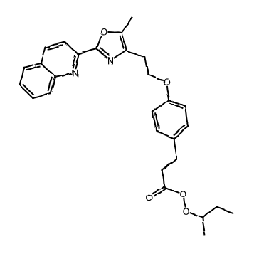 CCC(C)OOC(=O)CCc1ccc(OCCc2nc(-c3ccc4ccccc4n3)oc2C)cc1